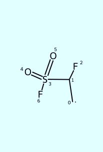 [CH2]C(F)S(=O)(=O)F